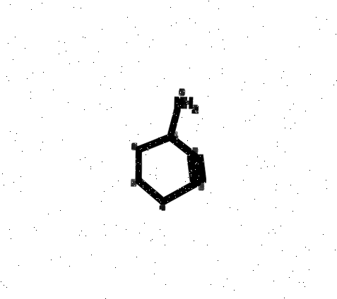 NC1C#CCCC1